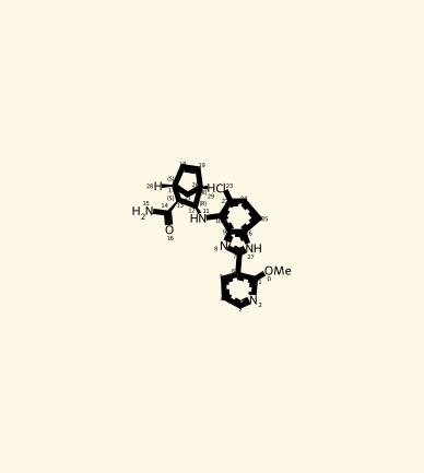 COc1ncccc1-c1nc2c(N[C@H]3[C@@H](C(N)=O)[C@@H]4C=C[C@H]3C4)c(Cl)ccc2[nH]1